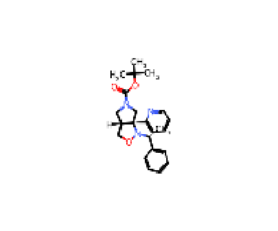 C[C@H](c1ccccc1)N1OC[C@@H]2CN(C(=O)OC(C)(C)C)C[C@@]21c1ccccn1